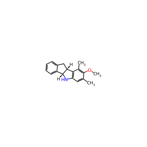 COc1c(C)cc2c(c1C)[C@H]1Cc3ccccc3[C@H]1N2